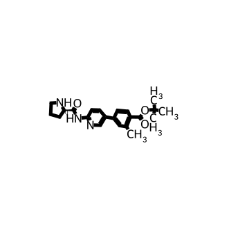 Cc1cc(-c2ccc(NC(=O)[C@H]3CCCN3)nc2)ccc1C(=O)OC(C)(C)C